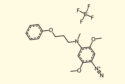 COc1cc(N(C)CCCOc2ccccc2)c(OC)cc1[N+]#N.F[B-](F)(F)F